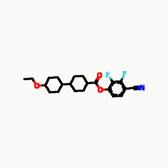 CCOC1CCC(C2CCC(C(=O)Oc3ccc(C#N)c(F)c3F)CC2)CC1